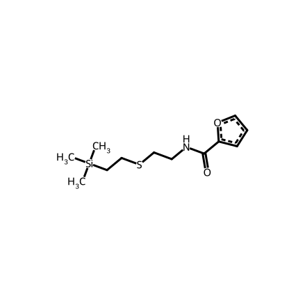 C[Si](C)(C)CCSCCNC(=O)c1ccco1